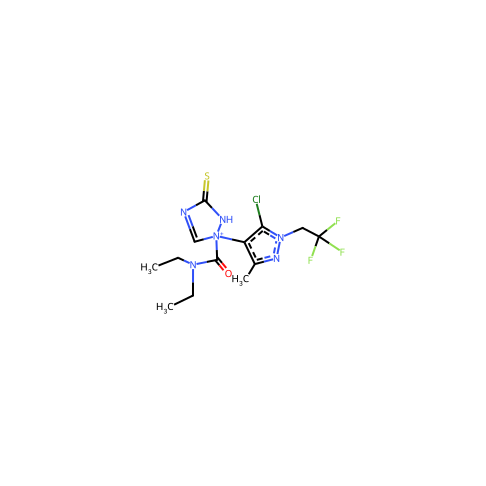 CCN(CC)C(=O)[N+]1(c2c(C)nn(CC(F)(F)F)c2Cl)C=NC(=S)N1